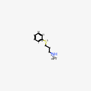 CC(C)NCCCSc1ccccc1